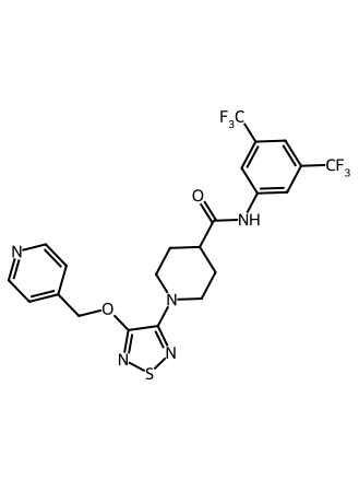 O=C(Nc1cc(C(F)(F)F)cc(C(F)(F)F)c1)C1CCN(c2nsnc2OCc2ccncc2)CC1